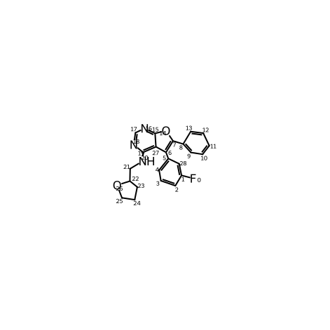 Fc1cccc(-c2c(-c3ccccc3)oc3ncnc(NCC4CCCO4)c23)c1